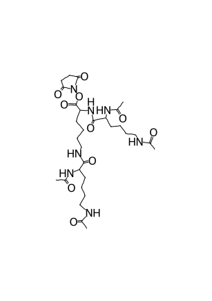 CC(=O)NCCCCC(NC(C)=O)C(=O)NCCCCC(NC(=O)C(CCCCNC(C)=O)NC(C)=O)C(=O)ON1C(=O)CCC1=O